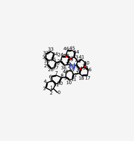 CC1CC=Cc2ccc(C3=CC=C(c4ccccc4)C(N(c4cccc(-c5cccc6ccccc56)c4)c4ccccc4-c4ccccc4)C3)cc21